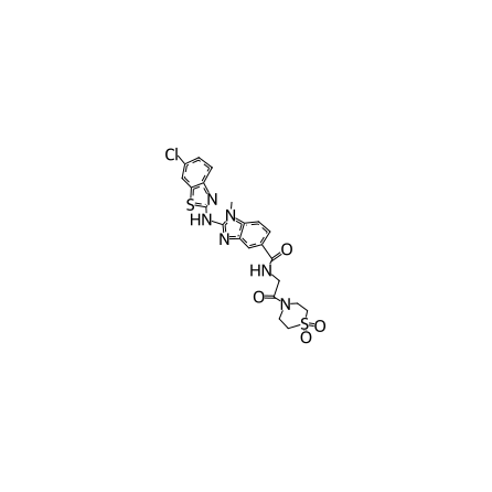 Cn1c(Nc2nc3ccc(Cl)cc3s2)nc2cc(C(=O)NCC(=O)N3CCS(=O)(=O)CC3)ccc21